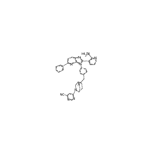 N#Cc1cc(N2CC3CCC2CN3Cc2ccc(-n3c(-c4cccnc4N)nc4ccc(-c5ccccc5)nc43)cc2)ncn1